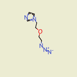 [N-]=[N+]=NCCOCCn1ccnc1